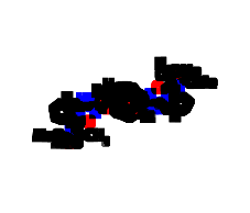 CCc1cc2c(-c3ccc4[nH]c([C@@H]5C[C@@H]6CCCC[C@@H]6N5C(=O)[C@@H](NC(=O)OC)[C@@H](C)OC)nc4c3)cc1CCC1=C[C@@H](CC)[C@H](C=C1c1ccc3[nH]c([C@@H]4C[C@@H]5CCCC[C@@H]5N4C(=O)[C@@H](NC(=O)OC)[C@@H](C)OC)nc3c1)CC2